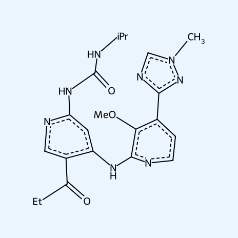 CCC(=O)c1cnc(NC(=O)NC(C)C)cc1Nc1nccc(-c2ncn(C)n2)c1OC